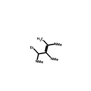 CCC(NC)C(NC)=C(C)NC